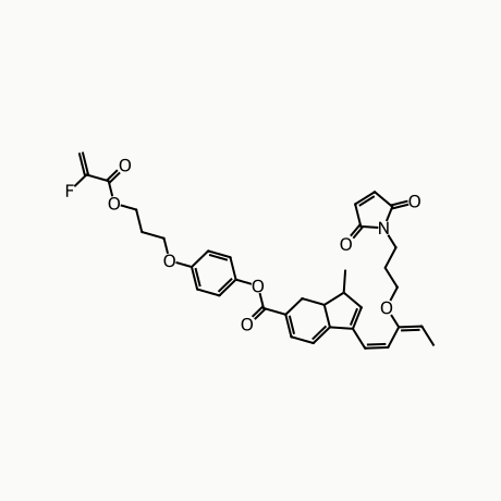 C=C(F)C(=O)OCCCOc1ccc(OC(=O)C2=CC=C3C(/C=C\C(=C/C)OCCCN4C(=O)C=CC4=O)=CC(C)C3C2)cc1